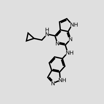 c1cc2c(NCC3CC3)nc(Nc3ccc4cn[nH]c4c3)nc2[nH]1